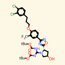 CC(C)(C)OC(=O)/N=C(\NC(=O)OC(C)(C)C)N1C[C@H](O)C[C@H]1c1nc(-c2ccc(OCCCc3ccc(Cl)c(Cl)c3)c(C(F)(F)F)c2)no1